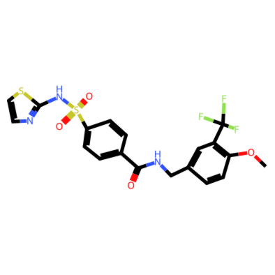 COc1ccc(CNC(=O)c2ccc(S(=O)(=O)Nc3nccs3)cc2)cc1C(F)(F)F